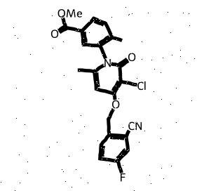 COC(=O)c1ccc(C)c(-n2c(C)cc(OCc3ccc(F)cc3C#N)c(Cl)c2=O)c1